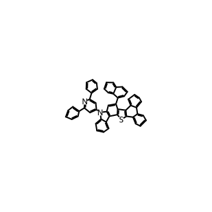 c1ccc(-c2cc(-n3c4ccccc4c4c5sc6c7ccccc7c7ccccc7c6c5c(-c5cccc6ccccc56)cc43)cc(-c3ccccc3)n2)cc1